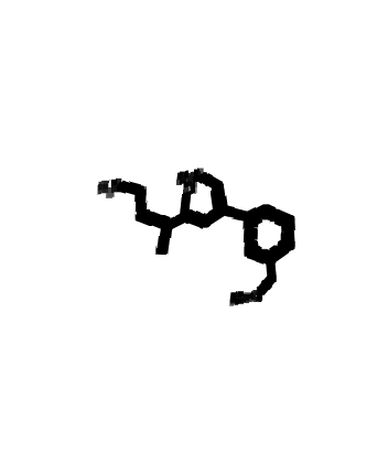 CCC(=C\C(=C/NC)c1cccc(COC)c1)/C(C)=C\CN